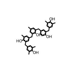 Cc1cc(Cc2ccc(O)c(Cc3cc(C)c(O)c(C)c3)c2)c(O)c(Cc2cc(C)c(O)c(Cc3cc(C)c(O)c(C)c3)c2)c1